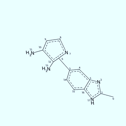 Cc1nc2cc(-c3nccc(N)c3N)ccc2[nH]1